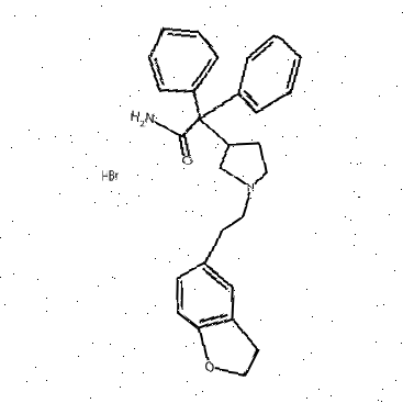 Br.NC(=O)C(c1ccccc1)(c1ccccc1)C1CCN(CCc2ccc3c(c2)CCO3)C1